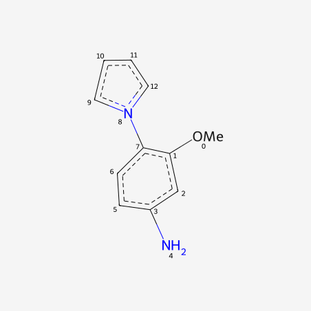 COc1cc(N)ccc1-n1cccc1